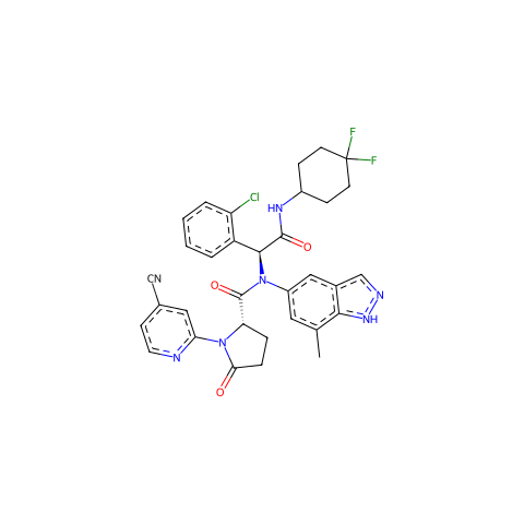 Cc1cc(N(C(=O)[C@@H]2CCC(=O)N2c2cc(C#N)ccn2)[C@H](C(=O)NC2CCC(F)(F)CC2)c2ccccc2Cl)cc2cn[nH]c12